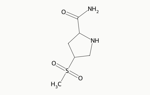 CS(=O)(=O)C1CNC(C(N)=O)C1